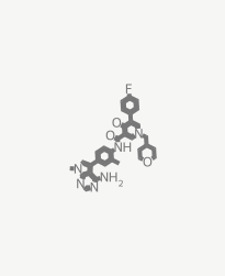 Cc1cc(-c2cn(C)c3ncnc(N)c23)ccc1NC(=O)c1cn(CC2CCOCC2)cc(-c2ccc(F)cc2)c1=O